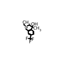 CCN1Cc2cc(C(F)(F)F)ccc2[C@](C)(O)C1